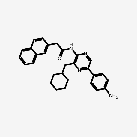 Nc1ccc(-c2cnc(NC(=O)Cc3ccc4ccccc4c3)c(CC3CCCCC3)n2)cc1